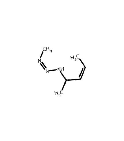 C/C=C\C(C)N/N=N\C